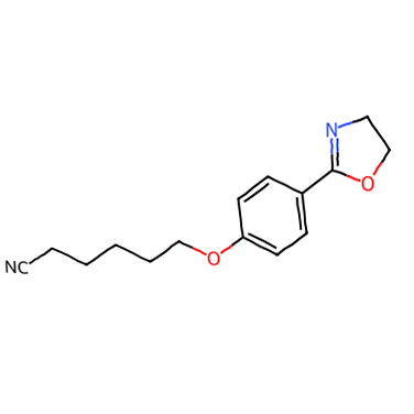 N#CCCCCCOc1ccc(C2=NCCO2)cc1